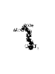 COc1nc(OC)nc(OCC(=O)N2CCC(c3nc(C4=NOC(c5c(Cl)cccc5C(F)(F)F)C4)cs3)CC2)n1